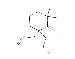 C=CCC1(CC=C)CCCC(C)(C)C1=O